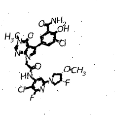 CO[C@H]1CN(c2cc(NC(=O)Cn3cc(-c4cc(Cl)c(O)c(C(N)=O)c4)c4c(=O)n(C)cnc43)c(Cl)c(F)n2)C[C@H]1F